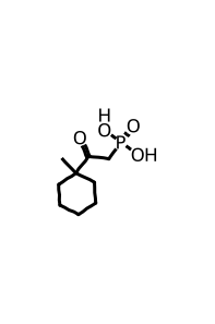 CC1(C(=O)CP(=O)(O)O)CCCCC1